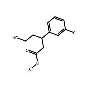 COC(=O)CC(CCO)c1cccc(Cl)c1